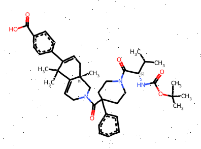 CC(C)[C@H](NC(=O)OC(C)(C)C)C(=O)N1CCC(C(=O)N2CC=C3C(C)(C)C(c4ccc(C(=O)O)cc4)=CC[C@]3(C)C2)(c2ccccc2)CC1